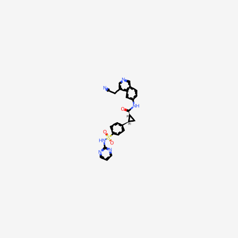 N#CCc1cncc2ccc(NC(=O)[C@@H]3C[C@H]3c3ccc(S(=O)(=O)Nc4ncccn4)cc3)cc12